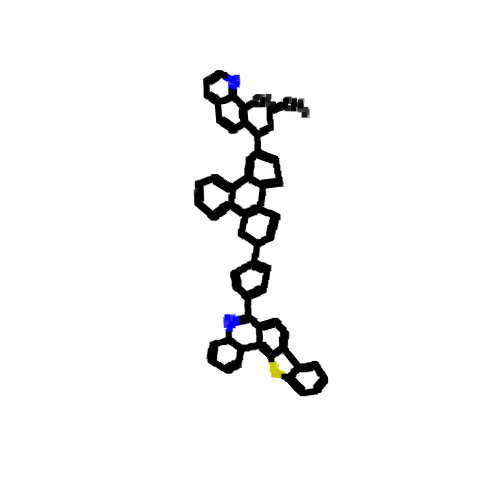 C=CCC(c1ccc2c3c(c4ccccc4c2c1)CC(c1ccc(C2=NC4C=CC=CC4c4c2ccc2c4sc4ccccc42)cc1)C=C3)c1ccc2cccnc2c1C